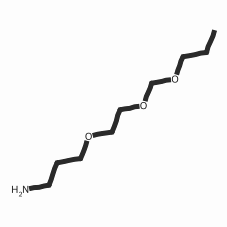 CCCOCOCCOCCCN